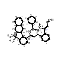 C/C(=C\C=N)c1ccccc1C/C=C(\NC(N)c1ccccc1)c1cccc2c1-c1cc3ccccc3cc1C2(C)C